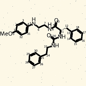 COc1ccc(NCCNC(=O)[C@H](Cc2ccccc2)NC(=O)NCCc2ccccc2)cc1